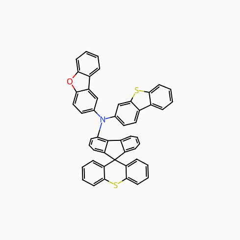 c1ccc2c(c1)Sc1ccccc1C21c2ccccc2-c2c(N(c3ccc4c(c3)sc3ccccc34)c3ccc4oc5ccccc5c4c3)cccc21